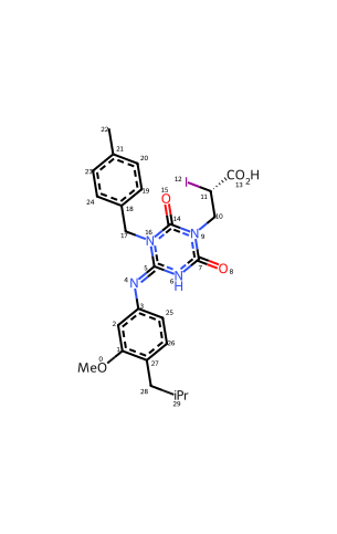 COc1cc(/N=c2\[nH]c(=O)n(C[C@H](I)C(=O)O)c(=O)n2Cc2ccc(C)cc2)ccc1CC(C)C